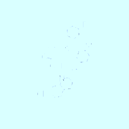 O=C(O)CC1(CSC2c3cc(C=Cc4ccc5cc(F)c(Cl)cc5n4)ccc3OCc3c(F)cccc32)CC1